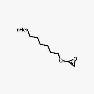 CCCCCCCCCCCCOC1=CO1